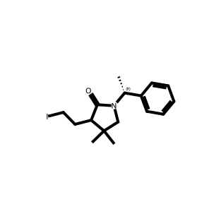 C[C@H](c1ccccc1)N1CC(C)(C)C(CCI)C1=O